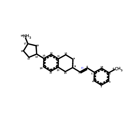 Cc1cccc(/C=C/C2CCc3cc(C4CCC(N)C4)ccc3C2)c1